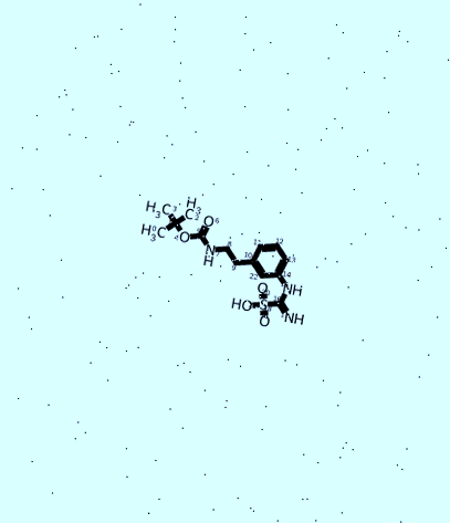 CC(C)(C)OC(=O)NCCc1cccc(NC(=N)S(=O)(=O)O)c1